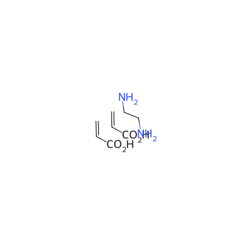 C=CC(=O)O.C=CC(=O)O.NCCN